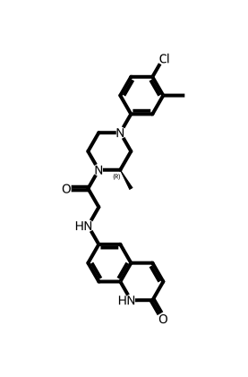 Cc1cc(N2CCN(C(=O)CNc3ccc4[nH]c(=O)ccc4c3)[C@H](C)C2)ccc1Cl